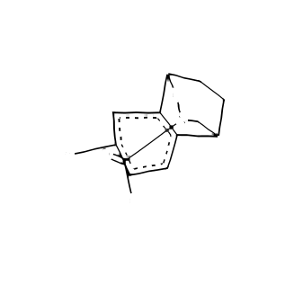 O=C(N1CC2CCC(C1)c1cc(Br)ccc12)C(F)(F)F